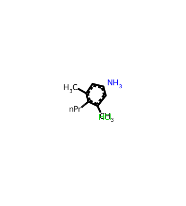 CCCc1c(C)cccc1C.Cl.N